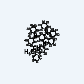 CC1(C)c2ccccc2-c2ccc(-n3c4ccccc4c4c(N(c5ccccc5)c5ccccc5)cc(N(c5ccccc5)c5ccccc5)cc43)cc21